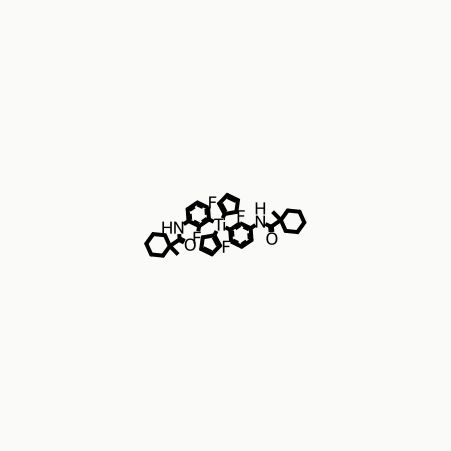 CC1(C(=O)Nc2ccc(F)[c]([Ti]([C]3=CC=CC3)([C]3=CC=CC3)[c]3c(F)ccc(NC(=O)C4(C)CCCCC4)c3F)c2F)CCCCC1